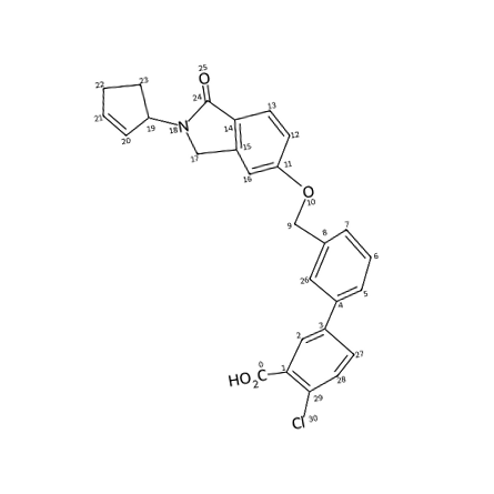 O=C(O)c1cc(-c2cccc(COc3ccc4c(c3)CN(C3C=CCC3)C4=O)c2)ccc1Cl